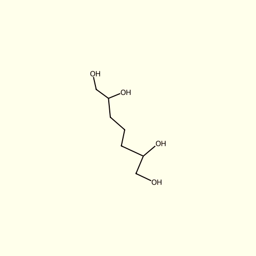 OCC(O)CCCC(O)CO